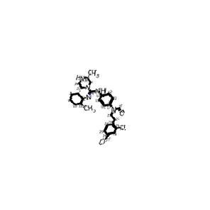 C[C@@H]1CN(/C(=N\[C@H]2CCCC[C@@H]2C)Nc2ccc(N(C=O)CCc3ccc(Cl)cc3Cl)cc2)CCN1